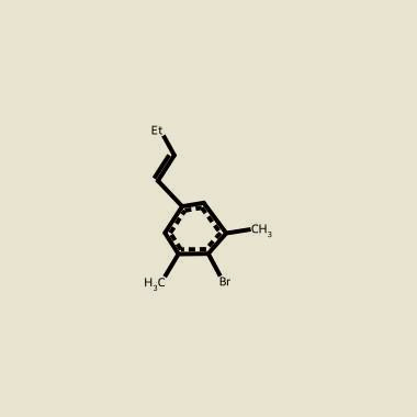 CC/C=C/c1cc(C)c(Br)c(C)c1